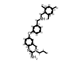 CCCN1Cc2cc(Oc3cccc(CNCc4c(C)cc(C)cc4C)c3)ccc2N=C1N